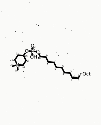 CCCCCCCC/C=C\CCCCCCCCOP(=O)(O)OC1CC[N+](C)(C)CC1